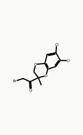 CC1(C(=O)CBr)COc2cc(Cl)c(Cl)cc2O1